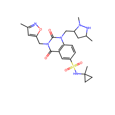 Cc1cc(Cn2c(=O)c3cc(S(=O)(=O)NC4(C)CC4)ccc3n(CC3CC(C)NN3C)c2=O)on1